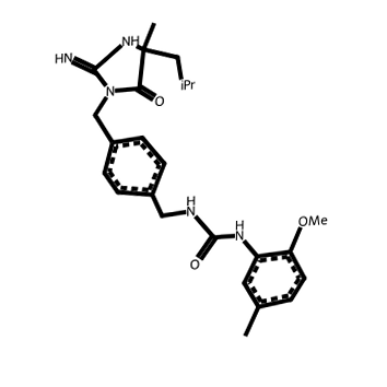 COc1ccc(C)cc1NC(=O)NCc1ccc(CN2C(=N)NC(C)(CC(C)C)C2=O)cc1